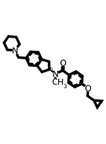 CN(C(=O)c1ccc(OCC2CC2)cc1)[C@@H]1Cc2ccc(CN3CCCCC3)cc2C1